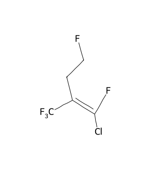 FCC/C(=C(\F)Cl)C(F)(F)F